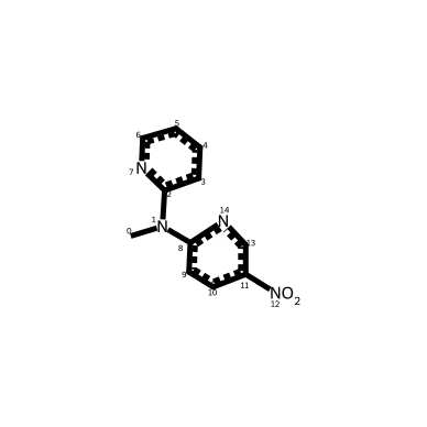 CN(c1ccccn1)c1ccc([N+](=O)[O-])cn1